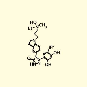 CC[Si](C)(O)CCCn1ccc2cc(-n3c(-c4cc(C(C)C)c(O)cc4O)n[nH]c3=O)ccc21